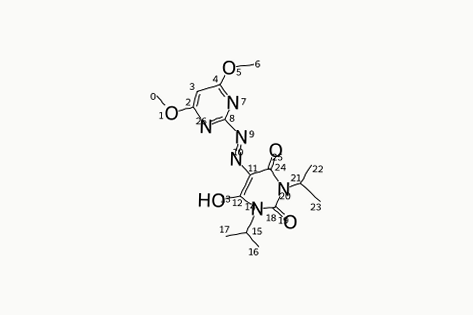 COc1cc(OC)nc(N=Nc2c(O)n(C(C)C)c(=O)n(C(C)C)c2=O)n1